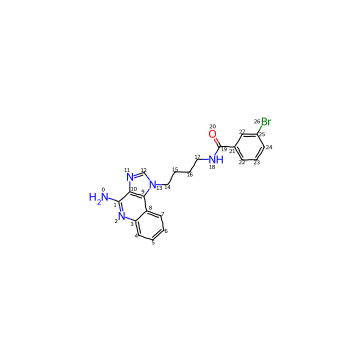 Nc1nc2ccccc2c2c1ncn2CCCCNC(=O)c1cccc(Br)c1